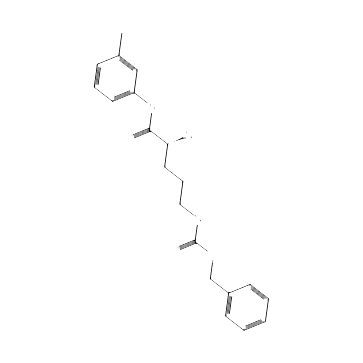 Cc1[c]c(NC(=O)[C@@H](N)CCCNC(=O)OCc2ccccc2)ccc1